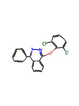 Clc1cccc(Cl)c1Oc1nnc(-c2ccccc2)c2ccccc12